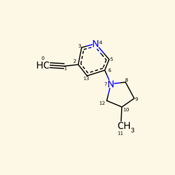 C#Cc1cncc(N2CCC(C)C2)c1